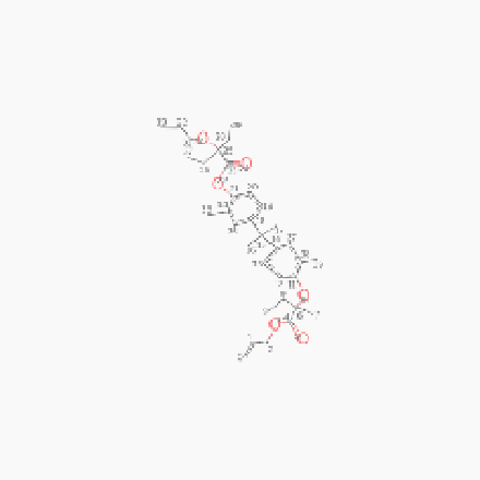 C=CCOC(=O)C(C)(CC)Oc1ccc(C(C)(C)c2ccc(OC(=O)C(CC)(CC)OCC=C)c(C)c2)cc1C